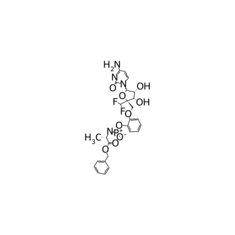 C[C@H](N=[P+]([O-])Oc1ccccc1OC[C@@]1(C(F)F)O[C@@H](n2ccc(N)nc2=O)[C@H](O)[C@@H]1O)C(=O)OCc1ccccc1